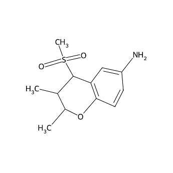 CC1Oc2ccc(N)cc2C(S(C)(=O)=O)C1C